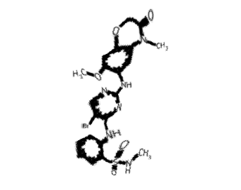 CNS(=O)(=O)c1ccccc1Nc1nc(Nc2cc3c(cc2OC)OCC(=O)N3C)ncc1Br